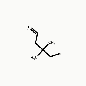 C=CCC(C)(C)[CH2][Ir]